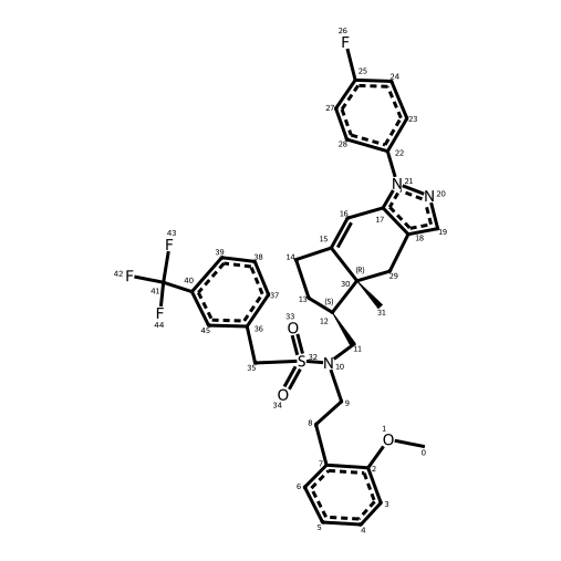 COc1ccccc1CCN(C[C@H]1CCC2=Cc3c(cnn3-c3ccc(F)cc3)C[C@@]21C)S(=O)(=O)Cc1cccc(C(F)(F)F)c1